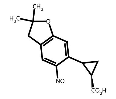 CC1(C)Cc2cc(N=O)c(C3C[C@H]3C(=O)O)cc2O1